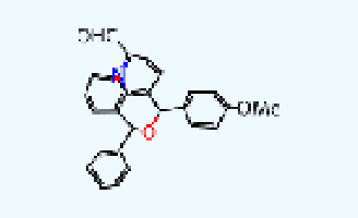 COc1ccc(C(OC(c2ccccc2)c2ccccc2)c2ccc(C=O)nc2)cc1